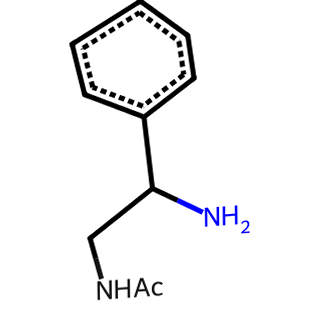 CC(=O)NCC(N)c1ccccc1